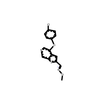 CO/N=C/c1cc2c(Oc3ccc(Cl)cc3)cncc2s1